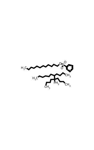 CCCCCCC(CCCC)C(P)(CCCC)CCCC.CCCCCCCCCCCCOS(=O)(=O)c1ccccc1